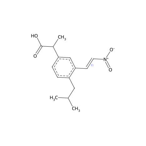 CC(C)Cc1ccc(C(C)C(=O)O)cc1/C=C/[N+](=O)[O-]